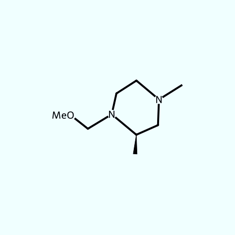 COCN1CCN(C)C[C@H]1C